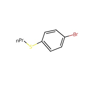 [CH2]CCSc1ccc(Br)cc1